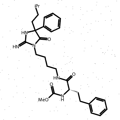 COC(=O)N[C@@H](CCc1ccccc1)C(=O)NCCCCN1C(=N)NC(CCC(C)C)(c2ccccc2)C1=O